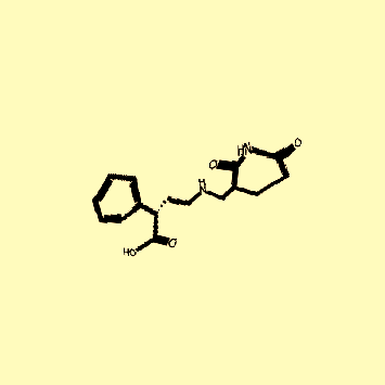 O=C1CCC(CNCC[C@H](C(=O)O)c2ccccc2)C(=O)N1